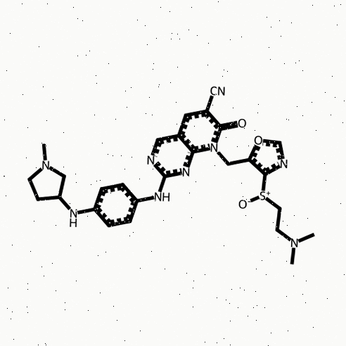 CN(C)CC[S+]([O-])c1ncoc1Cn1c(=O)c(C#N)cc2cnc(Nc3ccc(NC4CCN(C)C4)cc3)nc21